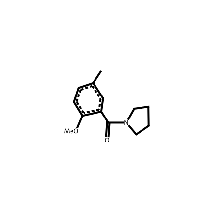 COc1ccc(C)cc1C(=O)N1CCCC1